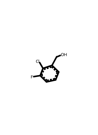 O[CH]c1cccc(F)c1Cl